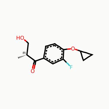 C[C@H](CO)C(=O)c1ccc(OC2CC2)c(F)c1